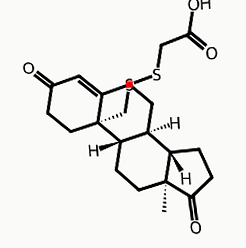 C[C@]12CC[C@H]3[C@@H](CCC4=CC(=O)CC[C@@]43CSSCC(=O)O)[C@@H]1CCC2=O